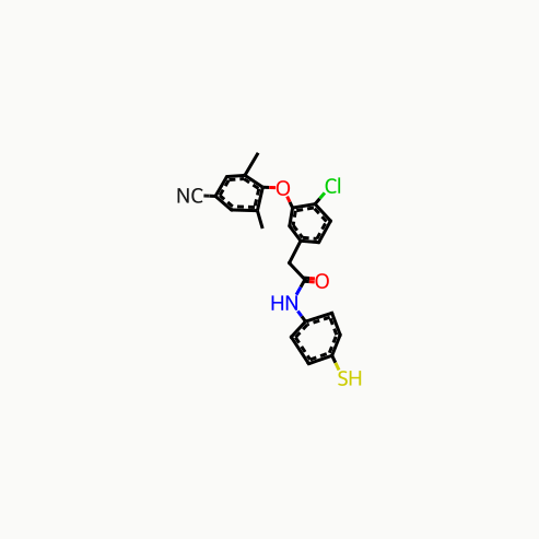 Cc1cc(C#N)cc(C)c1Oc1cc(CC(=O)Nc2ccc(S)cc2)ccc1Cl